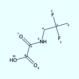 CC(F)(F)CNC(=O)C(=O)O